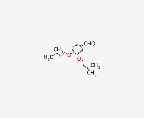 CC(C)=CCOc1ccc(C=O)cc1OCC=C(C)C